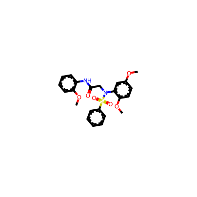 COc1ccc(OC)c(N(CC(=O)Nc2ccccc2OC)S(=O)(=O)c2ccccc2)c1